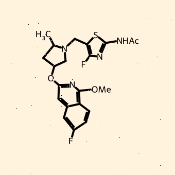 COc1nc(OC2CC(C)N(Cc3sc(NC(C)=O)nc3F)C2)cc2cc(F)ccc12